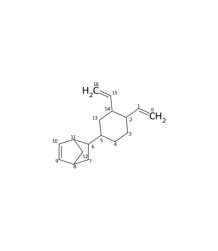 C=CC1CCC(C2CC3C=CC2C3)CC1C=C